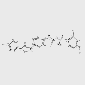 COc1ccc(N/C(O)=C/C(=O)Nc2ccc(-c3ncn(-c4ccc(C)cc4)n3)cc2)c(C)c1